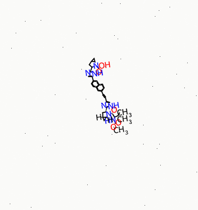 COC(=O)N[C@H](C(=O)N1[C@@H]2C[C@@H]2C[C@H]1c1nc(C#Cc2ccc3cc(-c4cnc(C5CC6CC6N5C(=O)O)[nH]4)ccc3c2)c[nH]1)C(C)C